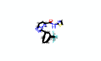 O=C(Nc1nccs1)c1ccc2nnc(-c3cccc(C(F)(F)F)c3)n2n1